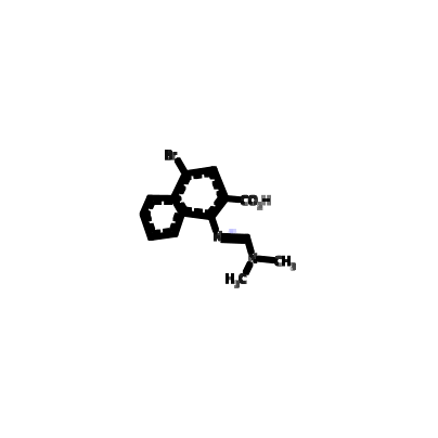 CN(C)/C=N/c1c(C(=O)O)cc(Br)c2ccccc12